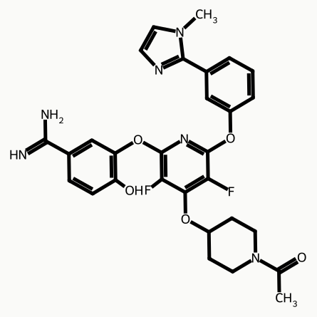 CC(=O)N1CCC(Oc2c(F)c(Oc3cccc(-c4nccn4C)c3)nc(Oc3cc(C(=N)N)ccc3O)c2F)CC1